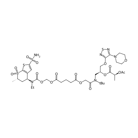 CCN(C(=O)OCOC(=O)CCCC(=O)OCC(=O)N(C[C@@H](COc1nsnc1N1CCOCC1)OC(=O)[C@H](C)OC(C)=O)C(C)(C)C)[C@H]1C[C@H](C)S(=O)(=O)c2sc(S(N)(=O)=O)cc21